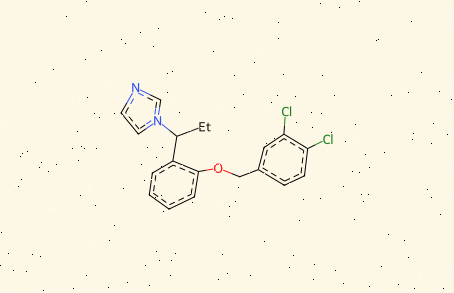 CCC(c1ccccc1OCc1ccc(Cl)c(Cl)c1)n1ccnc1